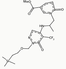 COC(=O)c1ccc(=O)n(CC(C)Nc2cnn(COCC[Si](C)(C)C)c(=O)c2C(F)(F)F)c1